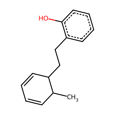 CC1C=CC=CC1CCc1ccccc1O